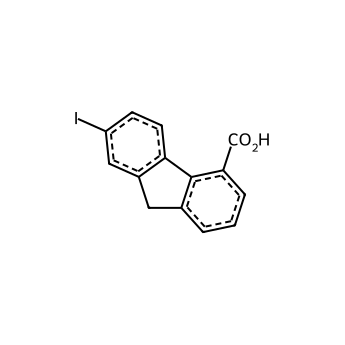 O=C(O)c1cccc2c1-c1ccc(I)cc1C2